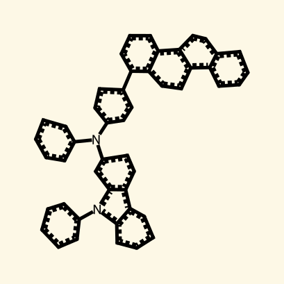 c1ccc(N(c2ccc(-c3cccc4c3ccc3c5ccccc5ccc43)cc2)c2ccc3c4ccccc4n(-c4ccccc4)c3c2)cc1